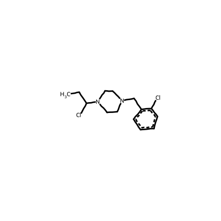 CCC(Cl)N1CCN(Cc2ccccc2Cl)CC1